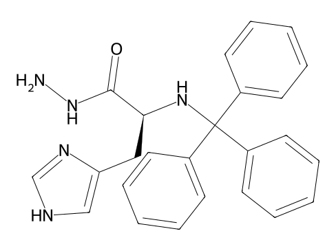 NNC(=O)[C@H](Cc1c[nH]cn1)NC(c1ccccc1)(c1ccccc1)c1ccccc1